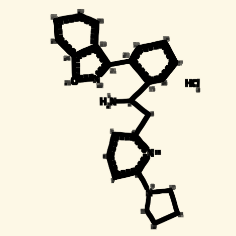 Cl.NC(Cc1cccc(N2CCCC2)n1)c1ccccc1-c1noc2ccccc12